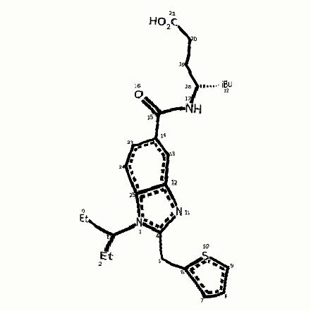 CCC(CC)n1c(Cc2cccs2)nc2cc(C(=O)NC(CCC(=O)O)[C@@H](C)CC)ccc21